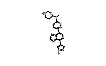 CN(c1ccc(-c2ccc(-c3cn[nH]c3)c3ncsc23)nn1)C1CCNCC1